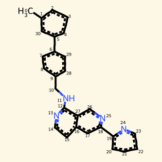 Cc1cccc(-c2ccc(CNc3nccc4cc(-c5ccccn5)ncc34)cc2)c1